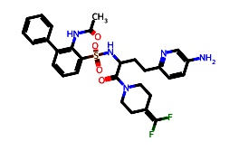 CC(=O)Nc1c(-c2ccccc2)cccc1S(=O)(=O)NC(CCc1ccc(N)cn1)C(=O)N1CCC(=C(F)F)CC1